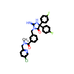 CN(Cc1ccc(Cl)cn1)C(=O)c1cccc(CN2C(=N)NC(c3ccc(F)cc3)(c3ccc(F)cc3)C2=O)c1